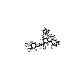 CC(=O)/N=c1\n(C)ccn1Cc1cc(C(=O)NCc2ccc(Cl)c(Cl)c2)cc(-c2ccc(F)nc2C)c1